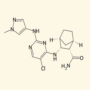 Cn1cc(Nc2ncc(Cl)c(N[C@@H]3[C@H]4CC[C@H](C4)[C@@H]3C(N)=O)n2)cn1